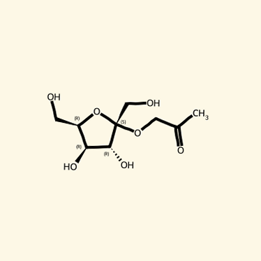 CC(=O)CO[C@@]1(CO)O[C@H](CO)[C@H](O)[C@H]1O